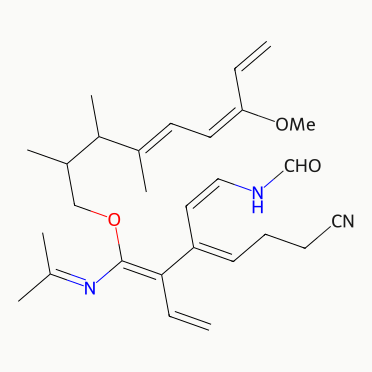 C=CC(=C(\N=C(C)C)OCC(C)C(C)/C(C)=C/C=C(\C=C)OC)/C(/C=C\NC=O)=C/CCC#N